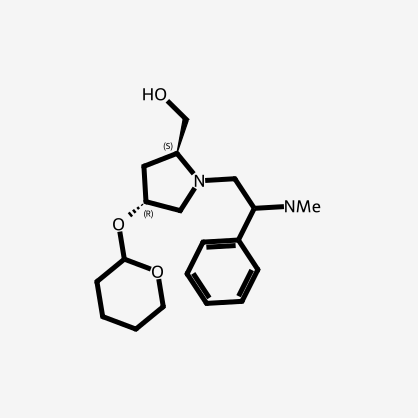 CNC(CN1C[C@H](OC2CCCCO2)C[C@H]1CO)c1ccccc1